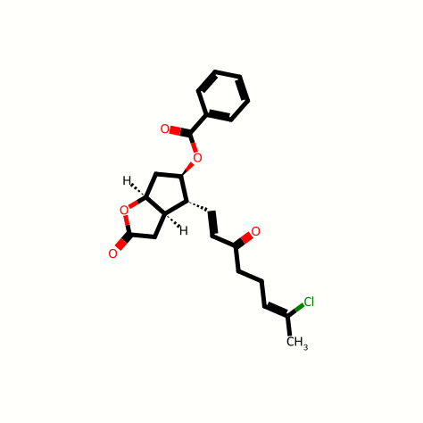 CC(Cl)=CCCC(=O)C=C[C@@H]1[C@H]2CC(=O)O[C@H]2C[C@H]1OC(=O)c1ccccc1